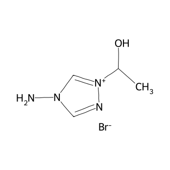 CC(O)[n+]1cn(N)cn1.[Br-]